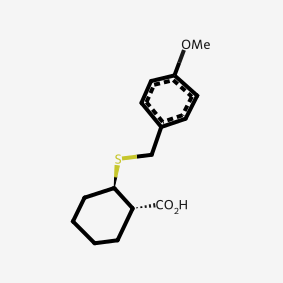 COc1ccc(CS[C@@H]2CCCC[C@H]2C(=O)O)cc1